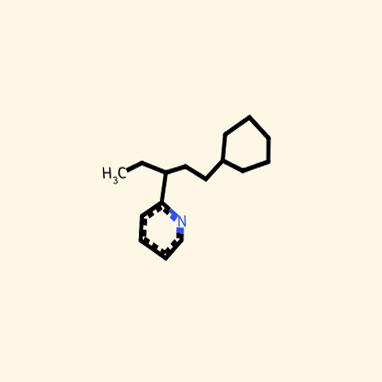 CCC(CCC1CCCCC1)c1ccccn1